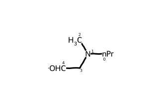 CCCN(C)C[C]=O